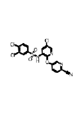 N#Cc1ccc(Oc2ncc(Cl)cc2NS(=O)(=O)c2ccc(Cl)c(Cl)c2)cn1